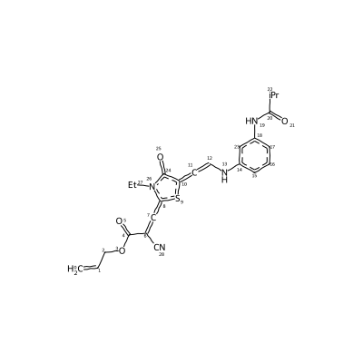 C=CCOC(=O)C(=C=c1sc(=C=CNc2cccc(NC(=O)C(C)C)c2)c(=O)n1CC)C#N